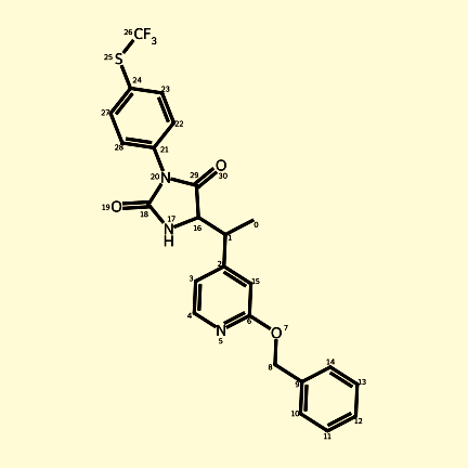 CC(c1ccnc(OCc2ccccc2)c1)C1NC(=O)N(c2ccc(SC(F)(F)F)cc2)C1=O